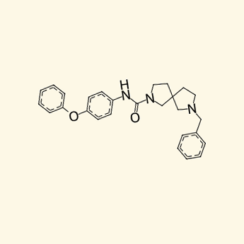 O=C(Nc1ccc(Oc2ccccc2)cc1)N1CCC2(CCN(Cc3ccccc3)C2)C1